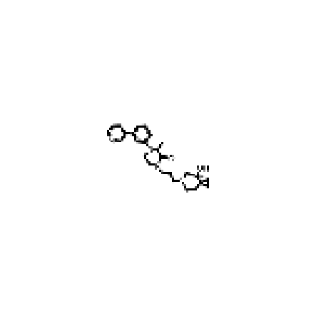 CC1C(=O)N(CCCN2CCC3(CC3)[C@H](O)C2)CCN1c1cccc(-c2cccnc2)c1